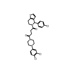 O=C(CCC(=O)N1CCc2sccc2C1c1ccc(Cl)cc1)N1CCN(c2ccc(Cl)c(Cl)c2)CC1